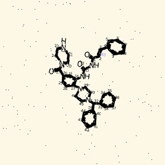 O=C(/C=C/c1ccccc1)NC(=O)Nc1cc(C(=O)N2CCNCC2)ccc1N1CCN(C(c2ccccc2)c2ccccc2)CC1